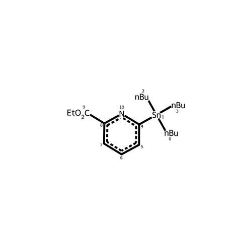 CCC[CH2][Sn]([CH2]CCC)([CH2]CCC)[c]1cccc(C(=O)OCC)n1